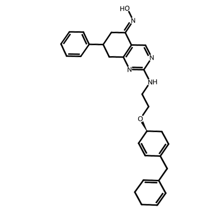 O/N=C1\CC(c2ccccc2)Cc2nc(NCCO[C@@H]3C=CC(CC4=CCCC=C4)=CC3)ncc21